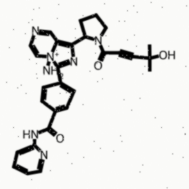 CC(C)(O)C#CC(=O)N1CCCC1C1=C2C=NC=C[N+]2(N)C(c2ccc(C(=O)Nc3ccccn3)cc2)=N1